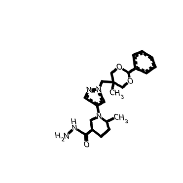 CC1CCC(C(=O)NN)CN1c1cnn(CC2(C)COC(c3ccccc3)OC2)c1